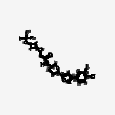 O=C(COC1CC(OC(F)(F)F)C1)N[C@@H]1CC[C@@H](c2cc(-c3ccc(Cl)c(F)c3)no2)OC1